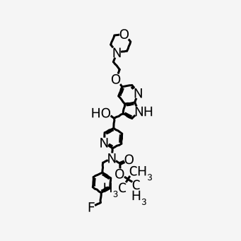 CC(C)(C)OC(=O)N(Cc1ccc(CF)cc1)c1ccc(C(O)c2c[nH]c3ncc(OCCN4CCOCC4)cc23)cn1